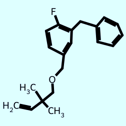 C=CC(C)(C)COCc1ccc(F)c(Cc2ccccc2)c1